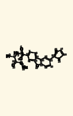 CC(C)C(NS(=O)(=O)c1ccc2c(c1)oc1ccc(-c3nccs3)cc12)C(=O)OC(C)(C)C